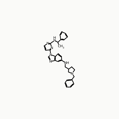 CC(Nc1nccc(-n2cnc3cc(NCC4CCN(Cc5ccccc5)C4)ccc32)n1)c1ccccc1